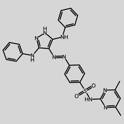 Cc1cc(C)nc(NS(=O)(=O)c2ccc(/N=N/c3c(Nc4ccccc4)n[nH]c3Nc3ccccc3)cc2)n1